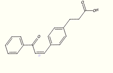 O=C(O)CCc1ccc(/C=C\C(=O)c2ccccc2)cc1